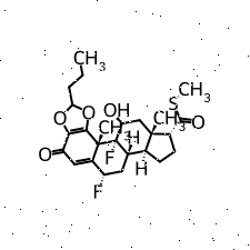 CCCC1OC2=C(O1)[C@@]1(C)C(=CC2=O)[C@@H](F)C[C@H]2[C@@H]3CC[C@@H](C(=O)SC)[C@@]3(C)C[C@H](O)[C@@]21F